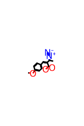 COc1ccc2cc(C(C)=[N+]=[N-])c(=O)oc2c1